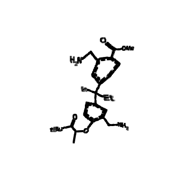 CCC(CC)(c1ccc(OC(C)C(=O)C(C)(C)C)c(CN)c1)c1ccc(C(=O)OC)c(CN)c1